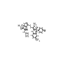 C=C(CCC1=NC[C@](C)(C(=O)NCC2CCC2)N1)N(Cc1ccc(C(F)(F)F)cc1)S(=O)(=O)c1ccc(F)cc1